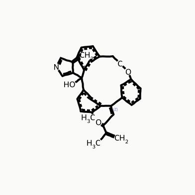 C=C(C)C(=O)/C=C1/c2cccc(c2)OCCc2cccc(c2)C(O)(C2=CN=CC2=C)c2ccc(C)c1c2